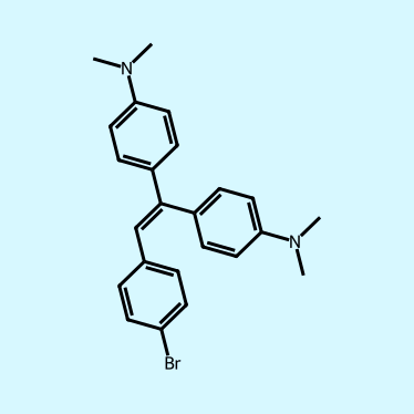 CN(C)c1ccc(C(=Cc2ccc(Br)cc2)c2ccc(N(C)C)cc2)cc1